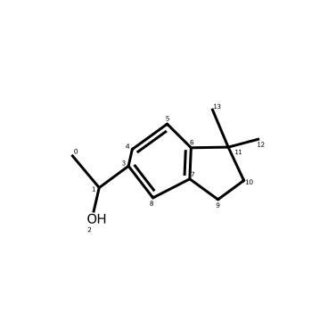 CC(O)c1ccc2c(c1)CCC2(C)C